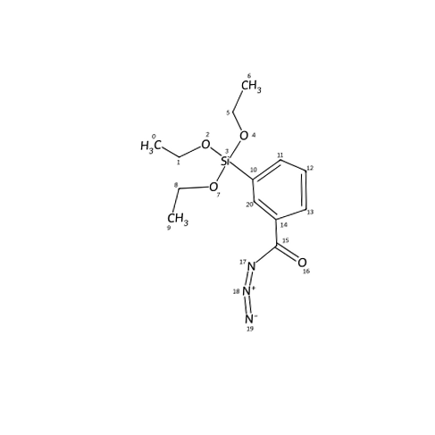 CCO[Si](OCC)(OCC)c1cccc(C(=O)N=[N+]=[N-])c1